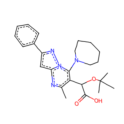 Cc1nc2cc(-c3ccccc3)nn2c(N2CCCCCC2)c1C(OC(C)(C)C)C(=O)O